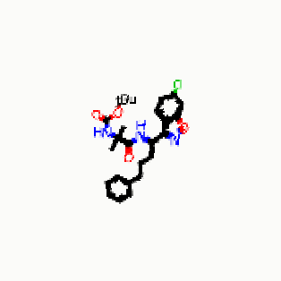 CC(C)(C)OC(=O)NC(C)(C)C(=O)NC(CCCc1ccccc1)c1noc2cc(Cl)ccc12